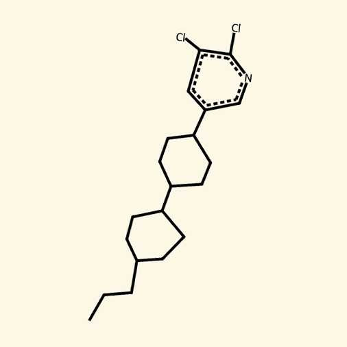 CCCC1CCC(C2CCC(c3cnc(Cl)c(Cl)c3)CC2)CC1